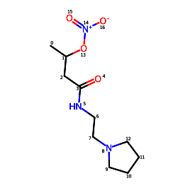 CC(CC(=O)NCCN1CCCC1)O[N+](=O)[O-]